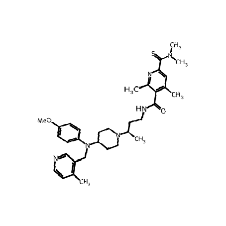 COc1ccc(N(Cc2cnccc2C)C2CCN([C@H](C)CCNC(=O)c3c(C)cc(C(=S)N(C)C)nc3C)CC2)cc1